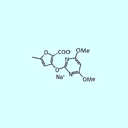 COc1cc(OC)nc(Oc2cc(C)oc2C(=O)[O-])n1.[Na+]